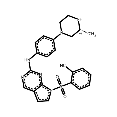 C[C@@H]1CN(c2ccc(Nc3ncc4ccn(S(=O)(=O)c5ccccc5C#N)c4n3)cc2)CCN1